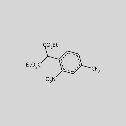 CCOC(=O)C(C(=O)OCC)c1ccc(C(F)(F)F)cc1[N+](=O)[O-]